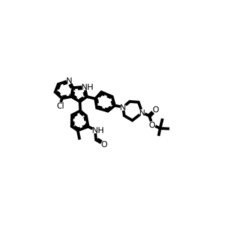 Cc1ccc(-c2c(-c3ccc(N4CCN(C(=O)OC(C)(C)C)CC4)cc3)[nH]c3nccc(Cl)c23)cc1NC=O